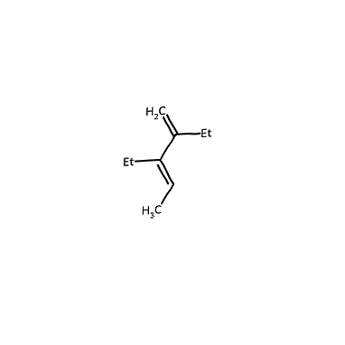 C=C(CC)C(=CC)CC